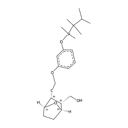 CC(C)C(C)(C)[Si](C)(C)Oc1cccc(OCC[C@@H]2[C@H](CO)[C@H]3CC[C@@H]2O3)c1